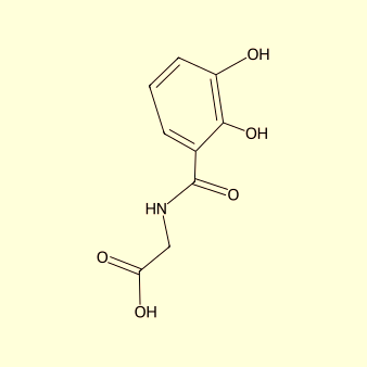 O=C(O)CNC(=O)c1cccc(O)c1O